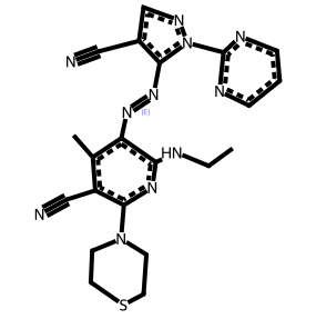 CCNc1nc(N2CCSCC2)c(C#N)c(C)c1/N=N/c1c(C#N)cnn1-c1ncccn1